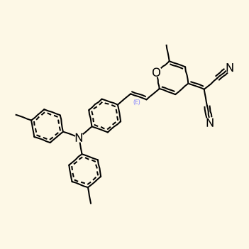 CC1=CC(=C(C#N)C#N)C=C(/C=C/c2ccc(N(c3ccc(C)cc3)c3ccc(C)cc3)cc2)O1